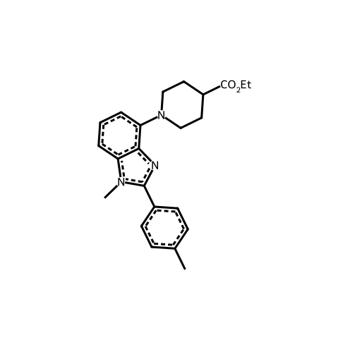 CCOC(=O)C1CCN(c2cccc3c2nc(-c2ccc(C)cc2)n3C)CC1